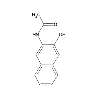 CC(=O)Nc1cc2ccccc2cc1O